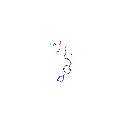 CC(c1ccc(Oc2ccc(-n3ccnc3)cc2)cc1)N(O)C(N)=O